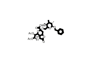 CC[C@@H](OC(C)=O)[C@@H](OC(C)=O)C1O[C@@](OCC2O[C@H](OCc3ccccc3)[C@@H](C)C(C)[C@@H]2C)(C(=O)OC)CC2OC(=O)C[C@H]21